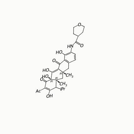 CC(=O)C1=C(O)C(C(C)C)[C@@]2(C)C[C@@]3(C)Cc4ccc(NC(=O)C5CCOCC5)c(O)c4C(=O)C3=C(O)[C@@]2(O)C1=O